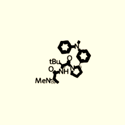 CN[C@@H](C)C(=O)N[C@H](C(=O)N1CCC[C@H]1c1cccc(N(C)c2ccccc2)c1)C(C)(C)C